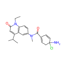 CCn1c(=O)cc(C(C)C)c2cc(N(C)C(=O)C3=CCC(N)(Cl)C=C3)ccc21